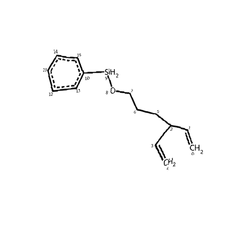 C=CC(C=C)CCCO[SiH2]c1ccccc1